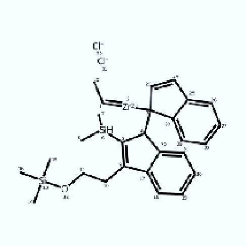 C[CH]=[Zr+2][C]1(C2C([SiH](C)C)=C(CCO[Si](C)(C)C)c3ccccc32)C=Cc2ccccc21.[Cl-].[Cl-]